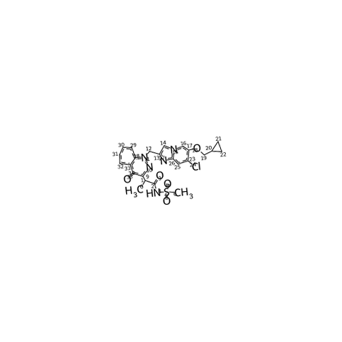 CC(C(=O)NS(C)(=O)=O)c1nn(Cc2cn3cc(OCC4CC4)c(Cl)cc3n2)c2ccccc2c1=O